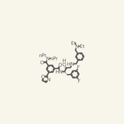 CCCN(CCC)C(=O)c1cc(C(=O)N[C@@H](Cc2cc(F)cc(F)c2)[C@H](O)CNCc2cccc(CN(CC)CC)c2)cc(-c2ncco2)c1